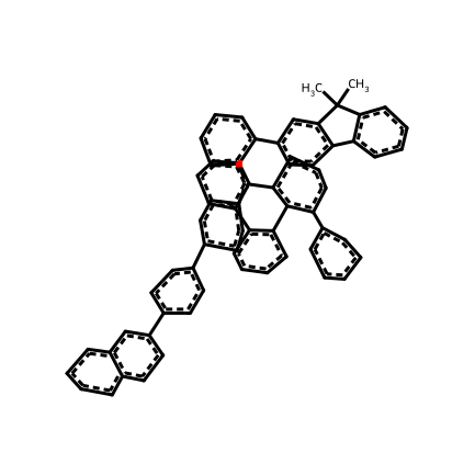 CC1(C)c2ccccc2-c2ccc(-c3ccccc3N(c3ccc(-c4ccc(-c5ccc6ccccc6c5)cc4)cc3)c3cccc(-c4ccccc4)c3-c3ccccc3-c3ccccc3)cc21